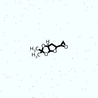 CC1(C)OC2OC(C3CO3)C[C@H]2O1